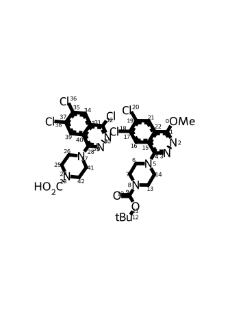 COc1nnc(N2CCN(C(=O)OC(C)(C)C)CC2)c2cc(Cl)c(Cl)cc12.O=C(O)N1CCN(c2nnc(Cl)c3cc(Cl)c(Cl)cc23)CC1